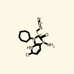 [N-]=[N+]=NC[C@@H]1C(=O)N(N)C2=C(NC(Cl)C=C2)N1C1CCCCCC1